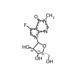 Cn1cnc2c(c(F)cn2C2O[C@H](CO)[C@@H](O)[C@H]2O)c1=O